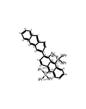 CC(=O)c1c(-c2ccc3cc4ccccc4cc3c2)ccc2c([Si](C(C)C)(C(C)C)C(C)C)c3ccccc3c([Si](C(C)C)(C(C)C)C(C)C)c12